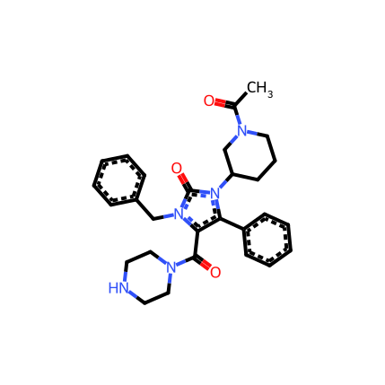 CC(=O)N1CCCC(n2c(-c3ccccc3)c(C(=O)N3CCNCC3)n(Cc3ccccc3)c2=O)C1